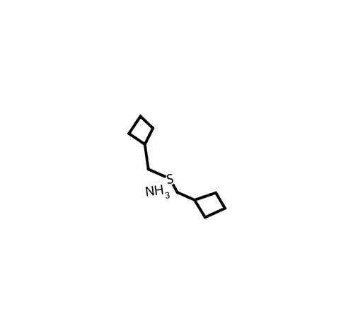 C1CC(CSCC2CCC2)C1.N